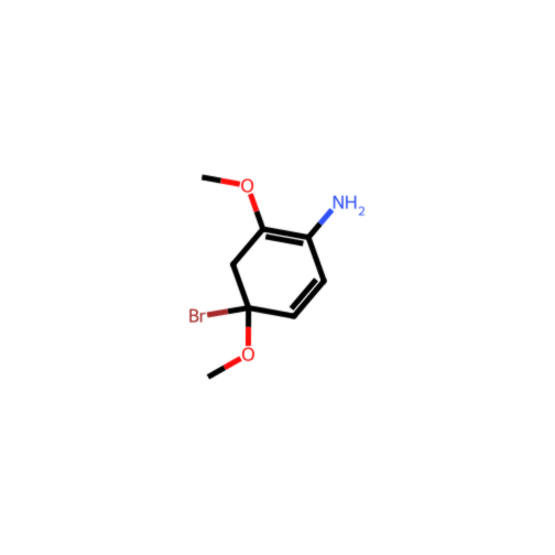 COC1=C(N)C=CC(Br)(OC)C1